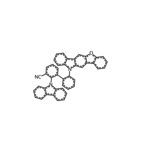 N#Cc1cccc(-c2ccccc2-n2c3ccccc3c3cc4oc5ccccc5c4cc32)c1-n1c2ccccc2c2ccccc21